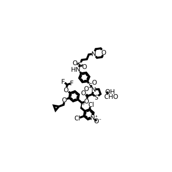 O=C(O[C@@H](Cc1c(Cl)c[n+]([O-])cc1Cl)c1ccc(OC(F)F)c(OCC2CC2)c1)C1SCCN1S(=O)(=O)c1ccc(NS(=O)(=O)CCCN2CCOCC2)cc1.O=CO